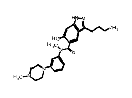 CCCCc1n[nH]c2cc(O)c(C(=O)N(C)c3cccc(N4CCN(C)CC4)c3)cc12